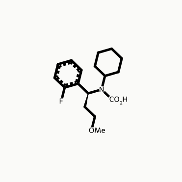 COCC[C@@H](c1ccccc1F)N(C(=O)O)C1CCCCC1